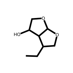 CCC1COC2OCC(O)C12